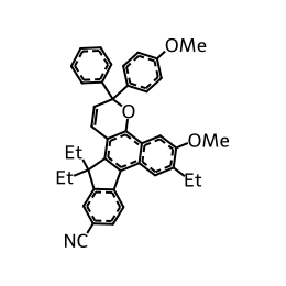 CCc1cc2c3c(c4c(c2cc1OC)OC(c1ccccc1)(c1ccc(OC)cc1)C=C4)C(CC)(CC)c1cc(C#N)ccc1-3